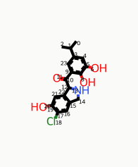 CC(C)c1cc(O)c(O)c(C(=O)C2NCc3cc(Cl)c(O)cc32)c1